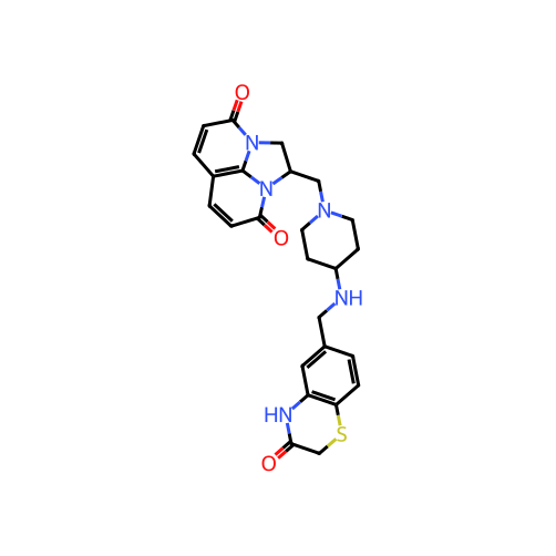 O=C1CSc2ccc(CNC3CCN(CC4Cn5c(=O)ccc6ccc(=O)n4c65)CC3)cc2N1